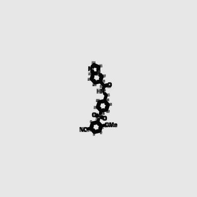 COc1ccc(C#N)cc1S(=O)(=O)c1ccc(CNC(=O)c2ccc3nccn3c2)cc1